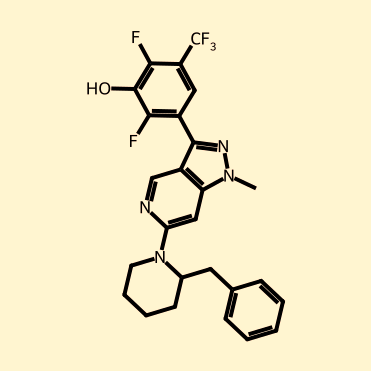 Cn1nc(-c2cc(C(F)(F)F)c(F)c(O)c2F)c2cnc(N3CCCCC3Cc3ccccc3)cc21